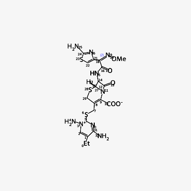 CCc1c[n+](N)c(SCC2=C(C(=O)[O-])N3C(=O)C(NC(=O)/C(=N\OC)c4csc(N)n4)[C@H]3SC2)nc1N